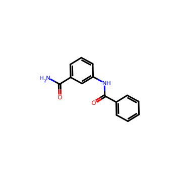 NC(=O)c1cccc(NC(=O)c2ccccc2)c1